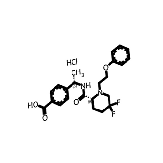 C[C@H](NC(=O)[C@H]1CCC(F)(F)CN1CCOc1ccccc1)c1ccc(C(=O)O)cc1.Cl